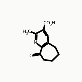 Cc1nc2c(cc1C(=O)O)CCCCC2=O